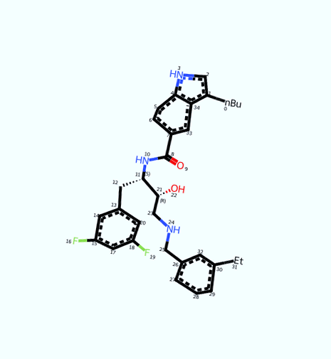 CCCCc1c[nH]c2ccc(C(=O)N[C@@H](Cc3cc(F)cc(F)c3)[C@H](O)CNCc3cccc(CC)c3)cc12